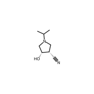 CC(C)N1C[C@@H](O)[C@@H](C#N)C1